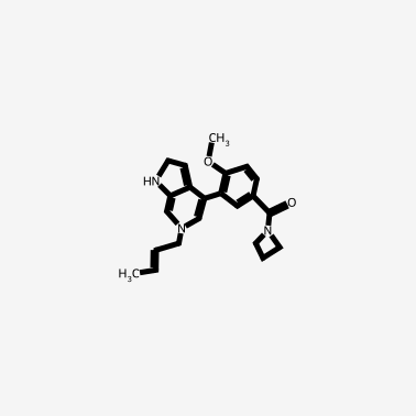 CC=CCN1C=C2NCC=C2C(c2cc(C(=O)N3CCC3)ccc2OC)=C1